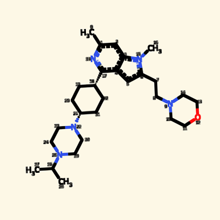 Cc1cc2c(cc(CCN3CCOCC3)n2C)c([C@H]2CC[C@@H](N3CCN(C(C)C)CC3)CC2)n1